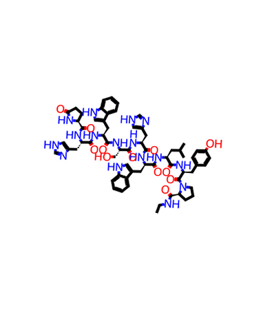 CCNC(=O)[C@@H]1CCCN1C(=O)[C@H](Cc1ccc(O)cc1)NC(=O)[C@H](CC(C)C)NC(=O)[C@@H](Cc1c[nH]c2ccccc12)NC(=O)[C@H](Cc1c[nH]cn1)NC(=O)[C@H](CO)NC(=O)[C@H](Cc1c[nH]c2ccccc12)NC(=O)[C@H](Cc1c[nH]cn1)NC(=O)[C@@H]1CCC(=O)N1